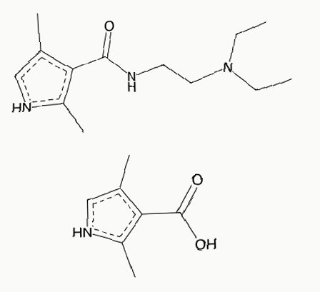 CCN(CC)CCNC(=O)c1c(C)c[nH]c1C.Cc1c[nH]c(C)c1C(=O)O